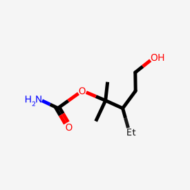 CCC(CCO)C(C)(C)OC(N)=O